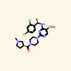 COc1cnc(N2CCN(C(=O)[C@H]3CCN(C)C3)CC2)nc1N[C@H](C)c1ccc(Cl)cc1Cl